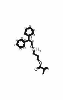 C=C(C)C(=O)OCCC[SiH2]OCC(c1ccccc1)c1ccccc1